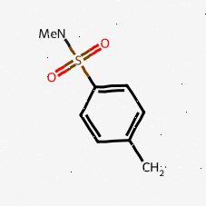 [CH2]c1ccc(S(=O)(=O)NC)cc1